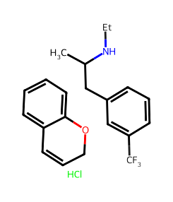 C1=Cc2ccccc2OC1.CCNC(C)Cc1cccc(C(F)(F)F)c1.Cl